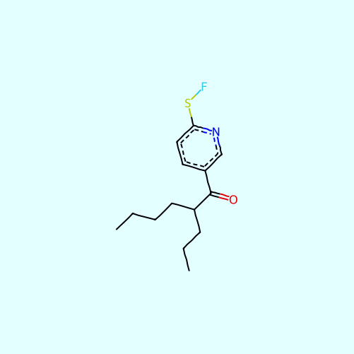 CCCCC(CCC)C(=O)c1ccc(SF)nc1